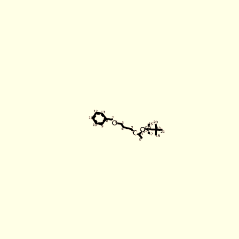 CC(CCCCOCc1ccccc1)O[Si](C)(C)C(C)(C)C